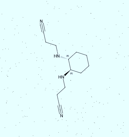 N#CCCN[C@@H]1CCCC[C@H]1NCCC#N